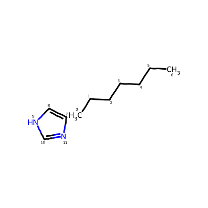 CCCCCCC.c1c[nH]cn1